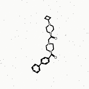 O=C(CN1CCN(C(=O)c2ccc(-c3ccccc3)cc2)CC1)N1CCN(C2CCC2)CC1